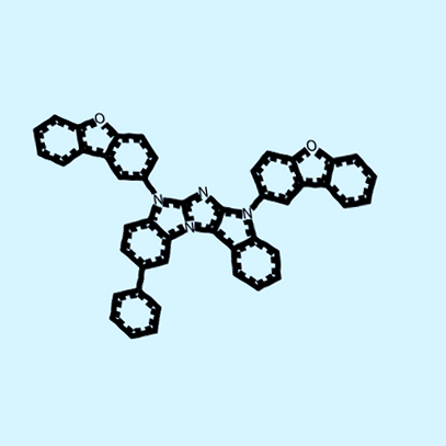 c1ccc(-c2ccc3c(c2)n2c4c5ccccc5n(-c5ccc6oc7ccccc7c6c5)c4nc2n3-c2ccc3oc4ccccc4c3c2)cc1